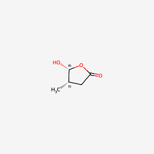 C[C@H]1CC(=O)O[C@H]1O